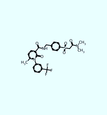 Cc1ccc(C(=O)NCc2ccc(S(=O)(=O)CC(=O)N(C)C)cc2)c(=O)n1-c1cccc(C(F)(F)F)c1